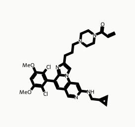 C=CC(=O)N1CCN(CCCc2cn3c(n2)c(-c2c(Cl)c(OC)cc(OC)c2Cl)cc2cnc(NCC4=CC4)cc23)CC1